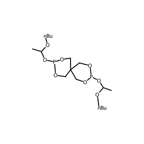 CCCCOC(C)OP1OCC2(CO1)COP(OC(C)OCCCC)OC2